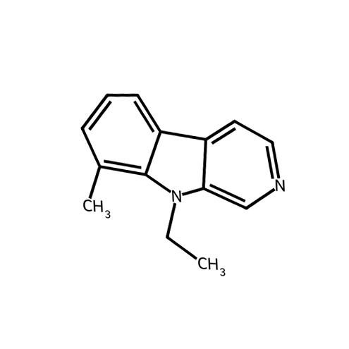 CCn1c2cnccc2c2cccc(C)c21